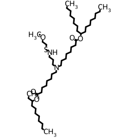 CCCCCCCCC(CC)OC(=O)CCCCCCCN(CCCCCCCC(=O)OC(CCCCCCCC)CCCCCCCC)CCCNSCCOC